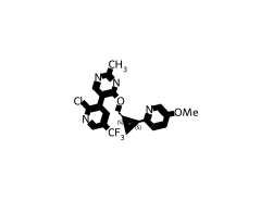 COc1ccc([C@H]2C[C@@H]2COc2nc(C)ncc2-c2cc(C(F)(F)F)cnc2Cl)nc1